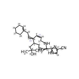 CC(C)CC(CC(C)(C)O)C(/C=C\CNC(=O)c1nc(C#N)c[nH]1)=N/CC1=CCCCC1